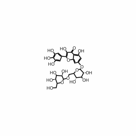 O=c1c(O)c(-c2cc(O)c(O)c(O)c2)oc2cc(OC3OC(COC4OC(CO)[C@@H](O)C(O)[C@H]4O)[C@@H](O)C(O)[C@H]3O)cc(O)c12